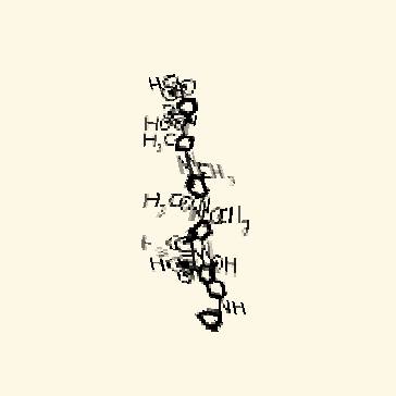 COc1cc(N=Nc2ccc(N=Nc3ccc(S(=O)(=O)O)cc3S(=O)(=O)O)c(C)c2)c(C)cc1N=Nc1cc(OC)c(N=Nc2c(S(=O)(=O)O)cc3cc(Nc4ccccc4)ccc3c2O)cc1OC